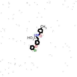 CC1CCC(C(=O)NC(=Cc2ccc(Oc3ccccc3Br)cc2)C(=O)O)CC1